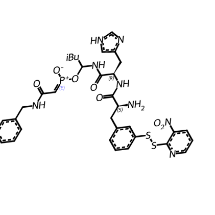 CCC(C)C(NC(=O)[C@@H](Cc1c[nH]cn1)NC(=O)[C@@H](N)Cc1cccc(SSc2ncccc2[N+](=O)[O-])c1)O/[P+]([O-])=C/C(=O)NCc1ccccc1